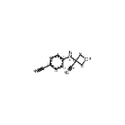 N#Cc1ccc(NC2(C#N)COC2)cc1